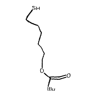 CC(C)(C)C(=O)OCCCCS